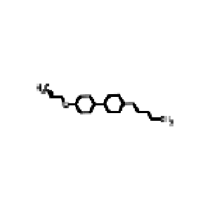 C=CCCCC1CCC(C2CCC(OCC=C)CC2)CC1